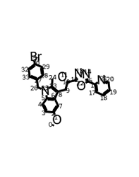 COc1ccc2c(c1)c(CC(=O)c1nnc(-c3ccccn3)o1)c(C)n2Cc1ccc(Br)cc1